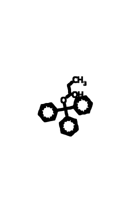 CCC(O)OC(c1ccccc1)(c1ccccc1)c1ccccc1